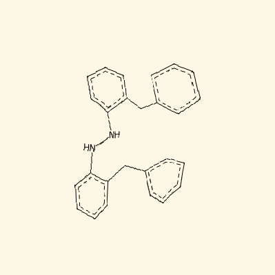 c1ccc(Cc2ccccc2NNc2ccccc2Cc2ccccc2)cc1